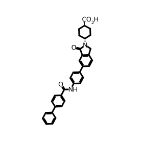 O=C(Nc1ccc(-c2ccc3c(c2)C(=O)N([C@H]2CC[C@H](C(=O)O)CC2)C3)cc1)c1ccc(-c2ccccc2)cc1